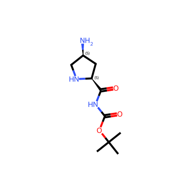 CC(C)(C)OC(=O)NC(=O)[C@@H]1C[C@H](N)CN1